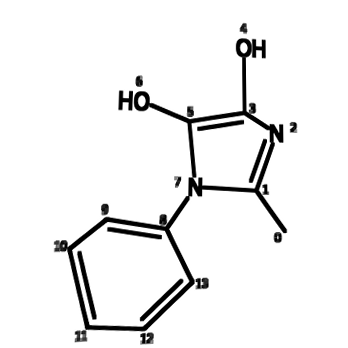 Cc1nc(O)c(O)n1-c1ccccc1